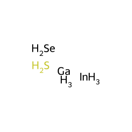 S.[GaH3].[InH3].[SeH2]